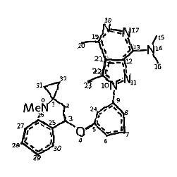 CNC1(CC(Oc2cccc(-n3nc4c(N(C)C)nnc(C)c4c3C)c2)c2ccccc2)CC1